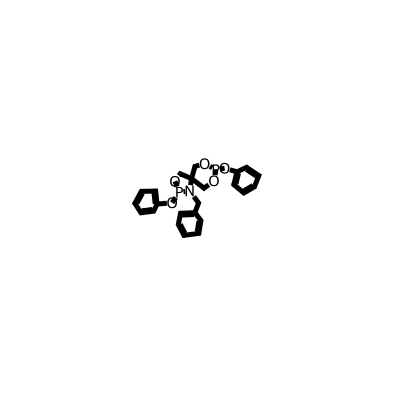 c1ccc(CN2P(Oc3ccccc3)OCC23COP(Oc2ccccc2)OC3)cc1